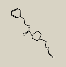 O=COCCN1CCN(C(=O)OCCc2ccccc2)CC1